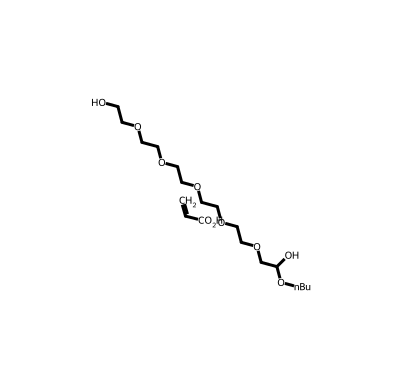 C=CC(=O)O.CCCCOC(O)COCCOCCOCCOCCOCCO